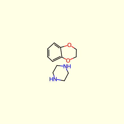 C1CNCCN1.c1ccc2c(c1)OCCO2